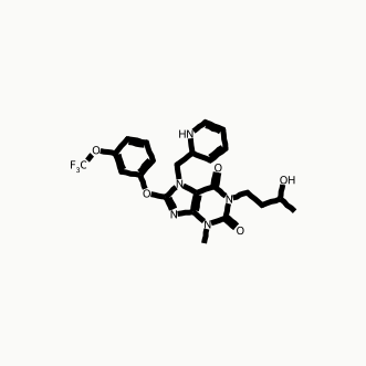 CC(O)CCn1c(=O)c2c(nc(Oc3cccc(OC(F)(F)F)c3)n2CC2C=CC=CN2)n(C)c1=O